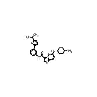 CC(C)c1nc(-c2cccc(NC(=O)c3cnc4ccc(N[C@H]5CC[C@H](N)CC5)nn34)c2)co1